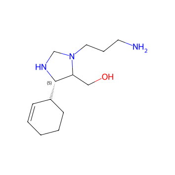 NCCCN1CN[C@@H](C2C=CCCC2)C1CO